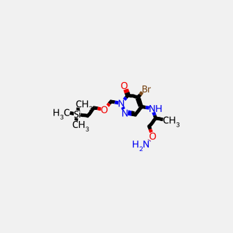 CC(CON)Nc1cnn(COCC[Si](C)(C)C)c(=O)c1Br